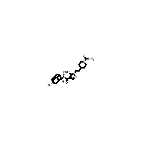 CC(C)COc1c(C(=O)N[C@H]2C3CC4CC2C[C@](O)(C4)C3)cnn1CCC1CCN(C(N)=O)CC1